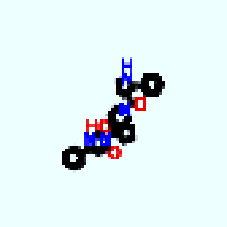 O=C([C@H]1CCN[C@@H]1c1ccccc1)N1CC[C@@](O)(Cn2cnc(-c3ccccc3)cc2=O)C2(CCCC2)C1